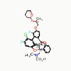 CNC(=O)c1ccc(OC[C@H](C)OC2CCCCO2)c(F)c1-c1c(Cl)c(F)cc2c1[C@H](C)[C@@](CN(C)C(=O)O)(c1ccccc1)O2